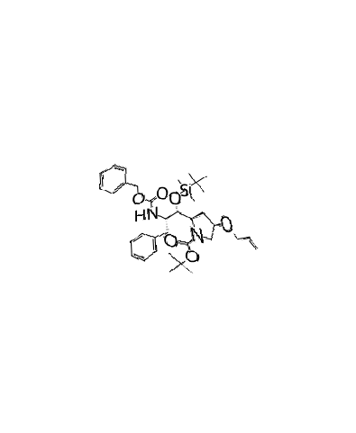 C=CCO[C@@H]1C[C@H]([C@@H](O[Si](C)(C)C(C)(C)C)[C@H](Cc2ccccc2)NC(=O)OCc2ccccc2)N(C(=O)OC(C)(C)C)C1